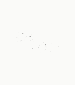 O=C(c1cccnc1)N(CF)Cc1cccc(C(F)(F)F)n1